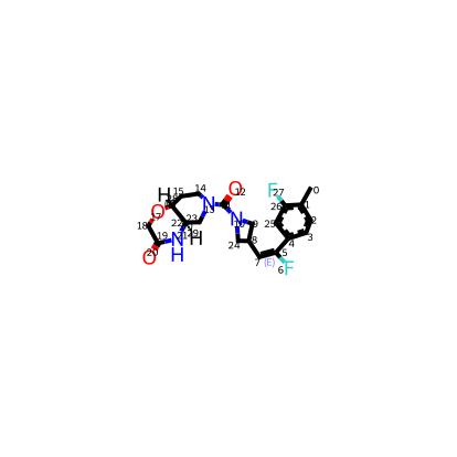 Cc1ccc(/C(F)=C\C2CN(C(=O)N3CC[C@@H]4OCC(=O)N[C@@H]4C3)C2)cc1F